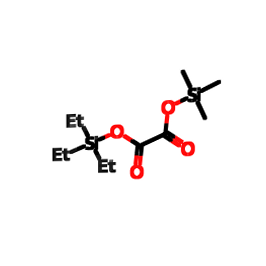 CC[Si](CC)(CC)OC(=O)C(=O)O[Si](C)(C)C